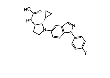 O=C(O)N[C@@H]1CCN(c2ccc3c(cnn3-c3ccc(F)cc3)c2)[C@H]1C1CC1